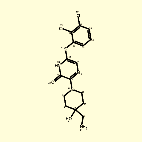 NCC1(O)CCN(c2ncc(Sc3cccc(Cl)c3Cl)[nH]c2=O)CC1